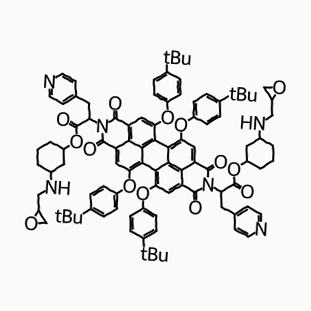 CC(C)(C)c1ccc(Oc2cc3c4c(cc(Oc5ccc(C(C)(C)C)cc5)c5c6c(Oc7ccc(C(C)(C)C)cc7)cc7c8c(cc(Oc9ccc(C(C)(C)C)cc9)c(c2c45)c86)C(=O)N(C(Cc2ccncc2)C(=O)OC2CCCC(NCC4CO4)C2)C7=O)C(=O)N(C(Cc2ccncc2)C(=O)OC2CCCC(NCC4CO4)C2)C3=O)cc1